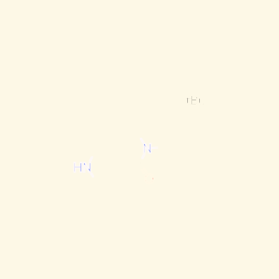 CC(C)(C)CC1CCN(C(=O)C2CCNCC2)CC1